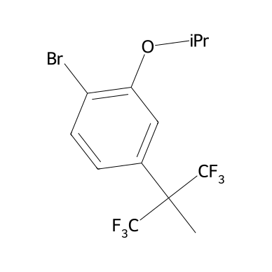 CC(C)Oc1cc(C(C)(C(F)(F)F)C(F)(F)F)ccc1Br